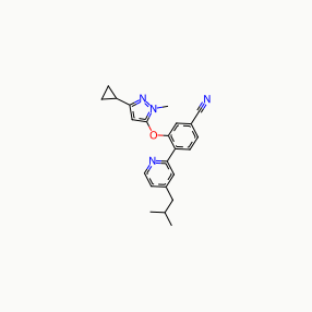 CC(C)Cc1ccnc(-c2ccc(C#N)cc2Oc2cc(C3CC3)nn2C)c1